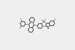 Cc1cc(C)cc(-c2c3ccccc3c(-c3ccc4c(c3)C(C)(C)c3c-4sc4ccc(C)cc34)c3ccccc23)c1